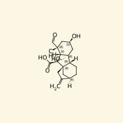 C=C1C[C@]23C[C@H]1CC[C@H]2[C@]1(CO)C[C@H](O)C[C@@](C)(C=O)[C@H]1[C@@H]3C(=O)O